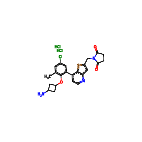 Cc1cc(Cl)cc(-c2ccnc3cc(CN4C(=O)CCC4=O)sc23)c1OC1CC(N)C1.Cl.Cl